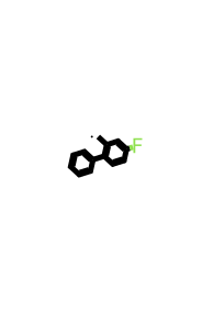 [CH2]c1cc(F)ccc1-c1ccccc1